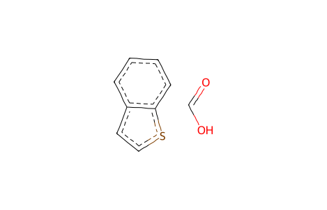 O=CO.c1ccc2sccc2c1